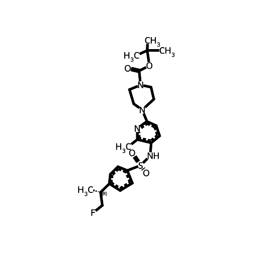 Cc1nc(N2CCN(C(=O)OC(C)(C)C)CC2)ccc1NS(=O)(=O)c1ccc([C@@H](C)CF)cc1